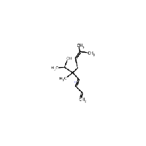 C=C/C=C/C(C)(CC=C(C)C)C(C)O